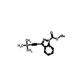 CC(C)(C)OC(=O)n1nc(C#C[Si](C)(C)C)c2ccccc21